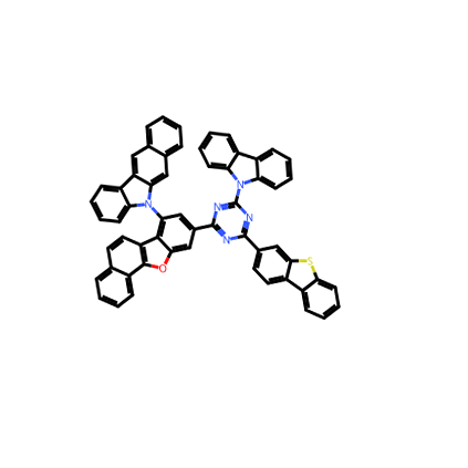 c1ccc2cc3c(cc2c1)c1ccccc1n3-c1cc(-c2nc(-c3ccc4c(c3)sc3ccccc34)nc(-n3c4ccccc4c4ccccc43)n2)cc2oc3c4ccccc4ccc3c12